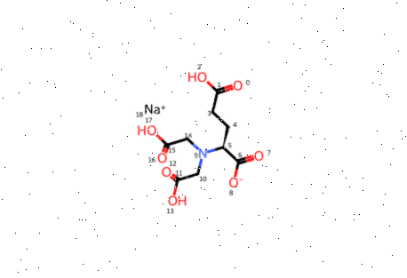 O=C(O)CC[C@@H](C(=O)[O-])N(CC(=O)O)CC(=O)O.[Na+]